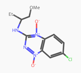 CCC(COC)Nc1n[n+]([O-])c2cc(Cl)ccc2[n+]1[O-]